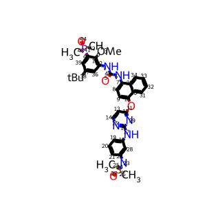 COc1c(NC(=O)Nc2ccc(Oc3ccnc(Nc4cccc(N=S(C)(C)=O)c4)n3)c3ccccc23)cc(C(C)(C)C)cc1P(C)(C)=O